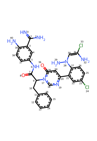 N=C(N)c1cc(NC(=O)C(Cc2ccccc2)n2cnc(-c3cc(Cl)ccc3N(N)/C=C(\N)Cl)cc2=O)ccc1N